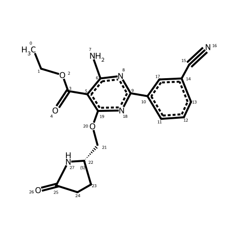 CCOC(=O)c1c(N)nc(-c2cccc(C#N)c2)nc1OC[C@@H]1CCC(=O)N1